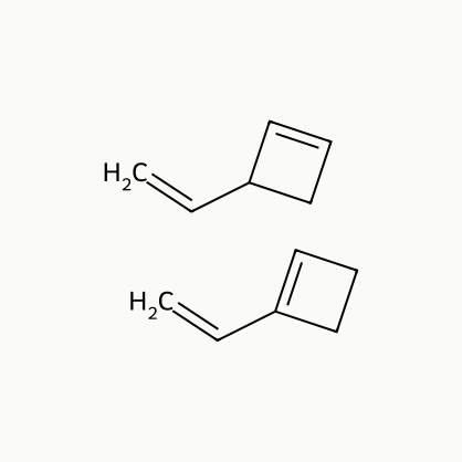 C=CC1=CCC1.C=CC1C=CC1